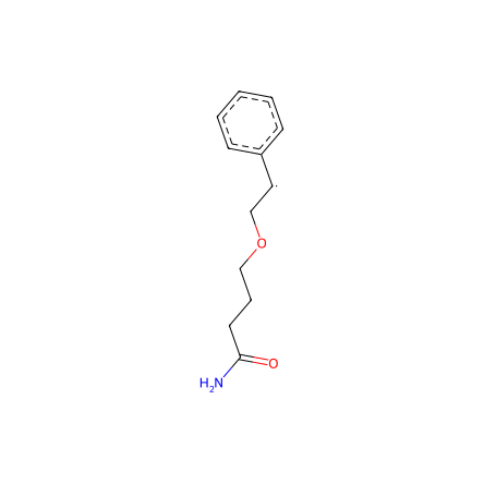 NC(=O)CCCOC[CH]c1ccccc1